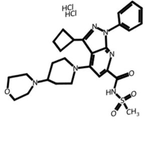 CS(=O)(=O)NC(=O)c1cc(N2CCC(N3CCOCC3)CC2)c2c(C3CCC3)nn(-c3ccccc3)c2n1.Cl.Cl